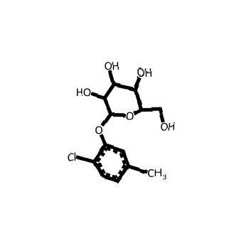 Cc1ccc(Cl)c(OC2OC(CO)C(O)C(O)C2O)c1